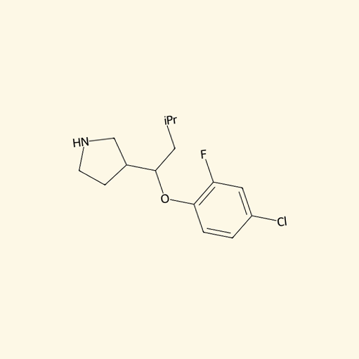 CC(C)CC(Oc1ccc(Cl)cc1F)C1CCNC1